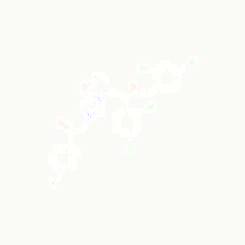 O=C(Cn1cc[n+](CC(OCc2ccc(Cl)cc2Cl)c2ccc(Cl)cc2Cl)c1)c1ccc(F)cc1.O=[N+]([O-])[O-]